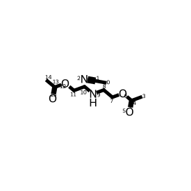 CC#N.CC(=O)OCCNCCOC(C)=O